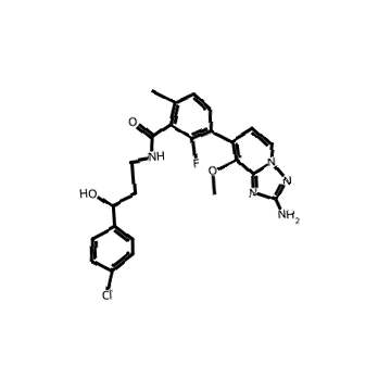 COc1c(-c2ccc(C)c(C(=O)NCCC(O)c3ccc(Cl)cc3)c2F)ccn2nc(N)nc12